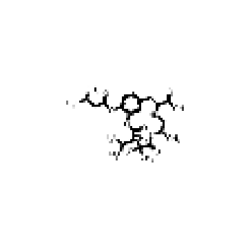 CC(C)CC(=O)Oc1ccc(C[C@H](NCC(C)OC(=O)C(C)(C)C)C(=O)O)cc1OC(=O)CC(C)C